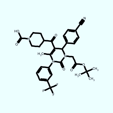 CC1=C(C(=O)C2CCN(C(=O)O)CC2)C(c2ccc(C#N)cc2)N(CC(=O)OC(C)(C)C)C(=O)N1c1cccc(C(F)(F)F)c1